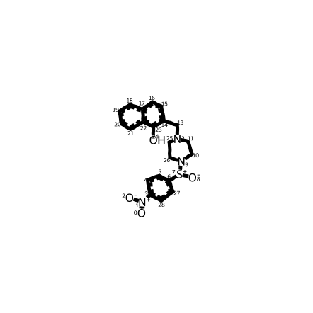 O=[N+]([O-])c1ccc([S+]([O-])N2CCN(Cc3ccc4ccccc4c3O)CC2)cc1